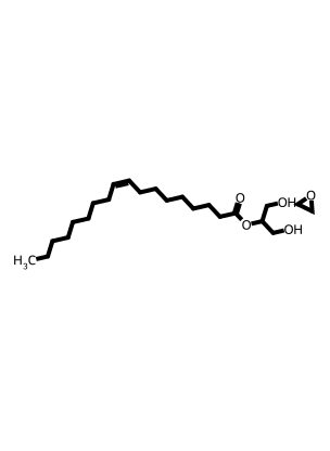 C1CO1.CCCCCCCC/C=C\CCCCCCCC(=O)OC(CO)CO